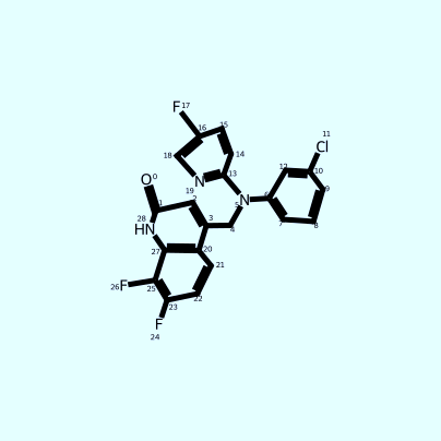 O=c1cc(CN(c2cccc(Cl)c2)c2ccc(F)cn2)c2ccc(F)c(F)c2[nH]1